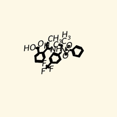 CCC(Nc1cc(C(F)(F)F)ccc1N(C(C)C)S(=O)(=O)c1ccccc1)c1ccccc1C(=O)O